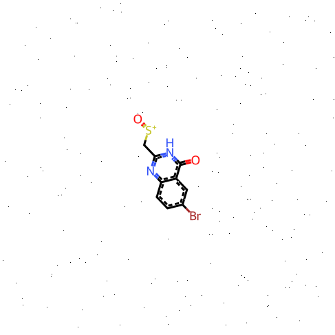 O=[S+]Cc1nc2ccc(Br)cc2c(=O)[nH]1